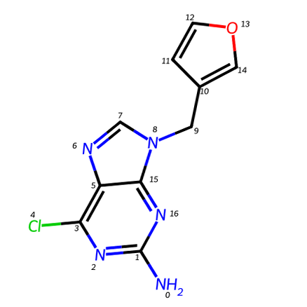 Nc1nc(Cl)c2ncn(Cc3ccoc3)c2n1